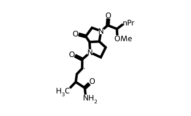 CCCC(OC)C(=O)N1CC(=O)C2C1CCN2C(=O)[CH]CC(C)C(N)=O